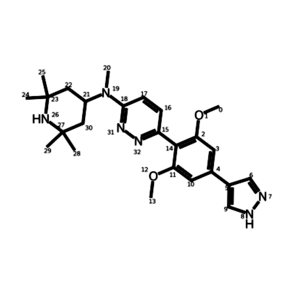 COc1cc(-c2cn[nH]c2)cc(OC)c1-c1ccc(N(C)C2CC(C)(C)NC(C)(C)C2)nn1